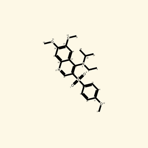 CCN(c1c(S(=O)(=O)c2ccc(OC)cc2)cnc2cc(OC)c(OC)cc12)C(C)C